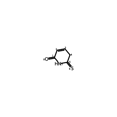 O=C1C=CCC(=S)N1